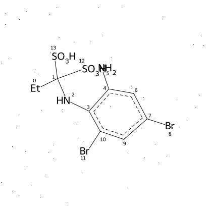 CCC(Nc1c(N)cc(Br)cc1Br)(S(=O)(=O)O)S(=O)(=O)O